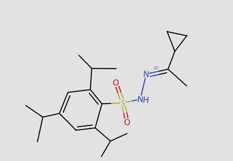 C/C(=N\NS(=O)(=O)c1c(C(C)C)cc(C(C)C)cc1C(C)C)C1CC1